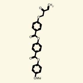 C=CC(=O)COc1ccc(C(=O)Oc2ccc(C(=O)Oc3ccc(OC)cc3)cc2)cc1